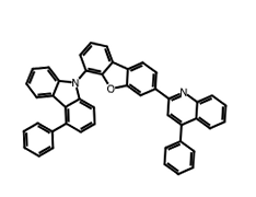 c1ccc(-c2cc(-c3ccc4c(c3)oc3c(-n5c6ccccc6c6c(-c7ccccc7)cccc65)cccc34)nc3ccccc23)cc1